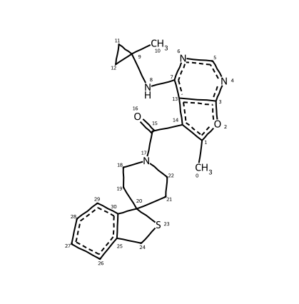 Cc1oc2ncnc(NC3(C)CC3)c2c1C(=O)N1CCC2(CC1)SCc1ccccc12